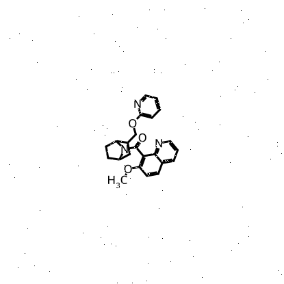 COc1ccc2cccnc2c1C(=O)N1C2CCC1C(COc1ccccn1)C2